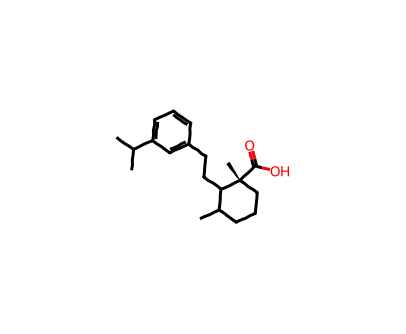 CC(C)c1cccc(CCC2C(C)CCC[C@@]2(C)C(=O)O)c1